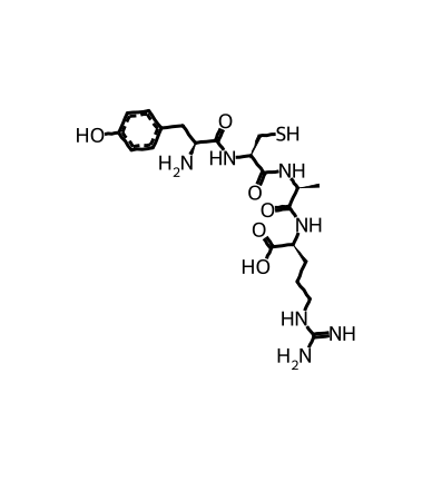 C[C@H](NC(=O)[C@H](CS)NC(=O)[C@@H](N)Cc1ccc(O)cc1)C(=O)N[C@@H](CCCNC(=N)N)C(=O)O